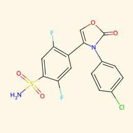 NS(=O)(=O)c1cc(F)c(-c2coc(=O)n2-c2ccc(Cl)cc2)cc1F